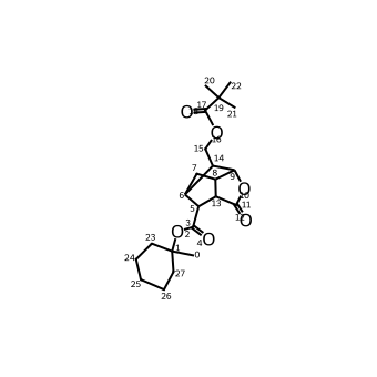 CC1(OC(=O)C2C3CC4C(OC(=O)C42)C3COC(=O)C(C)(C)C)CCCCC1